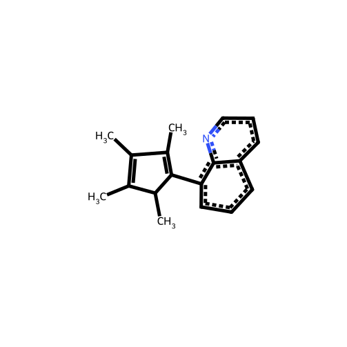 CC1=C(C)C(C)C(c2cccc3cccnc23)=C1C